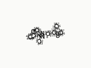 c1ccc(-c2nc(-c3ccc(-c4cc(-c5ccccc5)c5c(c4)oc4ccccc45)cc3)nc(-c3cccc4oc5c6ccccc6ccc5c34)n2)cc1